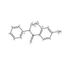 CC(C(=O)c1ccc(O)cc1O)c1ccccc1